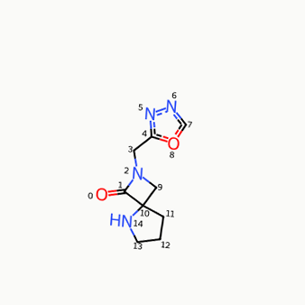 O=C1N(Cc2nnco2)CC12CCCN2